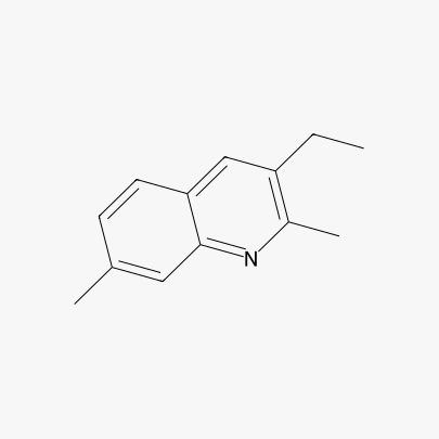 CCc1cc2ccc(C)cc2nc1C